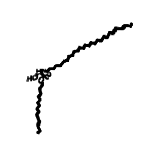 CCCCCCCCCCCCCCCCCCCCCCCCCCCC(=O)N[C@@H](CO)C(=O)OCCCCCCCCCCCCCC